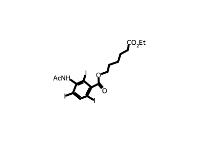 CCOC(=O)CCCCCOC(=O)c1c(I)cc(I)c(NC(C)=O)c1I